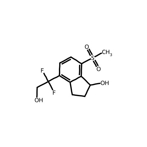 CS(=O)(=O)c1ccc(C(F)(F)CO)c2c1C(O)CC2